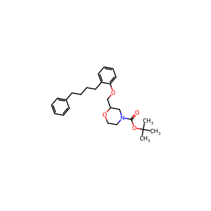 CC(C)(C)OC(=O)N1CCOC(COc2ccccc2CCCCc2ccccc2)C1